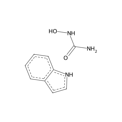 NC(=O)NO.c1ccc2[nH]ccc2c1